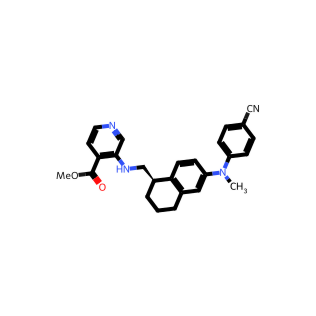 COC(=O)c1ccncc1NC[C@@H]1CCCc2cc(N(C)c3ccc(C#N)cc3)ccc21